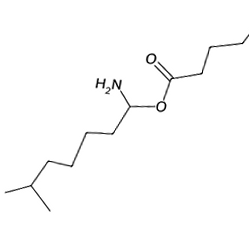 CCCCC(=O)OC(N)CCCCC(C)C